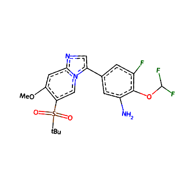 COc1cc2ncc(-c3cc(N)c(OC(F)F)c(F)c3)n2cc1S(=O)(=O)C(C)(C)C